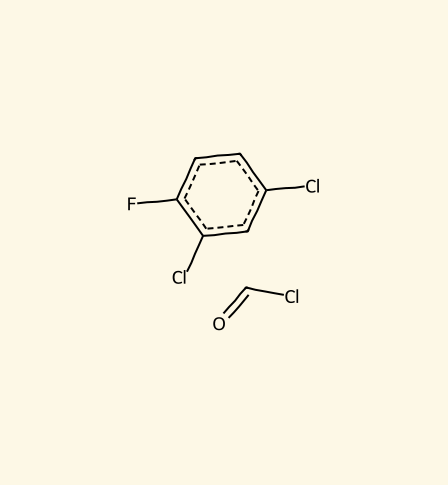 Fc1ccc(Cl)cc1Cl.O=CCl